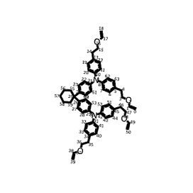 C=COCCc1ccc(N(c2ccc(CCOC=C)cc2)c2ccc(C3(c4ccc(N(c5ccc(CCOC=C)cc5)c5ccc(CCOC=C)cc5)cc4)CCCCC3)cc2)cc1